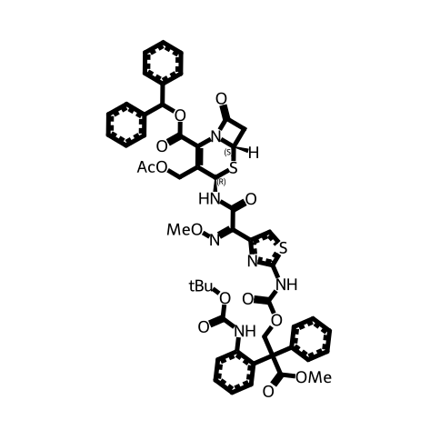 CON=C(C(=O)N[C@@H]1S[C@H]2CC(=O)N2C(C(=O)OC(c2ccccc2)c2ccccc2)=C1COC(C)=O)c1csc(NC(=O)OCC(C(=O)OC)(c2ccccc2)c2ccccc2NC(=O)OC(C)(C)C)n1